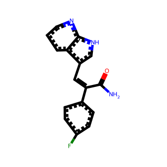 NC(=O)C(=Cc1c[nH]c2ncccc12)c1ccc(F)cc1